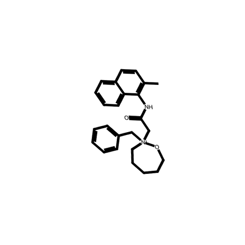 Cc1ccc2ccccc2c1NC(=O)C[N+]1(Cc2ccccc2)CCCCCO1